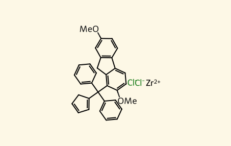 COc1ccc2c(c1)Cc1c-2ccc(OC)c1C(C1=CC=CC1)(c1ccccc1)c1ccccc1.[Cl-].[Cl-].[Zr+2]